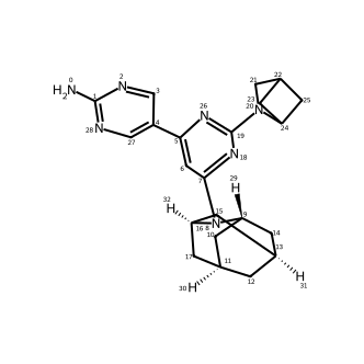 Nc1ncc(-c2cc(N3[C@H]4C[C@H]5C[C@H](C4)C[C@H]3C5)nc(N3CC4CC3C4)n2)cn1